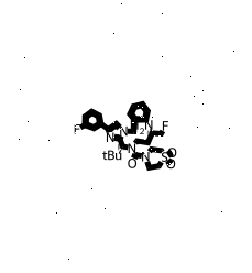 CC(C)(C)[C@H](c1nc(-c2cccc(F)c2)cn1Cc1ccccc1)N(CC[C@H](N)CF)C(=O)N1CCS(=O)(=O)CC1